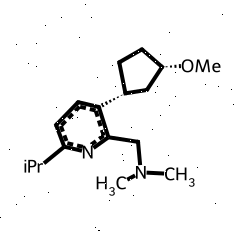 CO[C@H]1CC[C@@H](c2ccc(C(C)C)nc2CN(C)C)C1